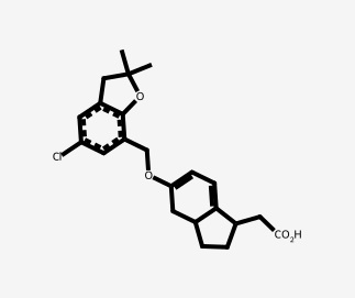 CC1(C)Cc2cc(Cl)cc(COC3=CC=C4C(CC(=O)O)CCC4C3)c2O1